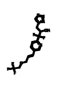 OC(Cn1cnnn1)C(F)(F)c1ccc(C=CCOCC(F)(F)F)cn1